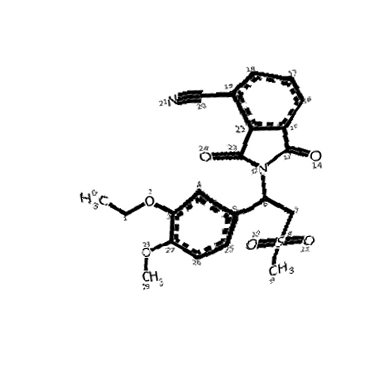 CCOc1cc(C(CS(C)(=O)=O)N2C(=O)c3cccc(C#N)c3C2=O)ccc1OC